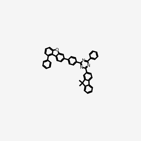 CC1(C)c2ccccc2-c2ccc(-c3nc(-c4ccccc4)nc(-c4ccc(-c5ccc6c(c5)oc5cccc(-c7ccccc7)c56)cc4)n3)cc21